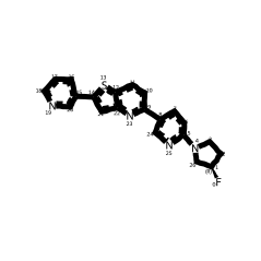 F[C@@H]1CCN(c2ccc(-c3ccc4sc(-c5cccnc5)cc4n3)cn2)C1